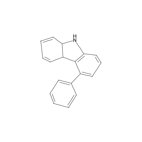 C1=CC2Nc3cccc(-c4ccccc4)c3C2C=C1